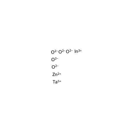 [In+3].[O-2].[O-2].[O-2].[O-2].[O-2].[Ta+5].[Zn+2]